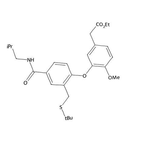 CCOC(=O)Cc1ccc(OC)c(Oc2ccc(C(=O)NCC(C)C)cc2CSC(C)(C)C)c1